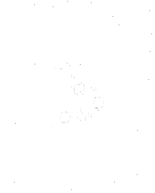 Cc1nc(Nc2cc(NC(=O)Nc3ccc(Cl)c(C(F)(F)F)c3)ccc2C)nc(N2CCN(C)C(=O)C2)n1